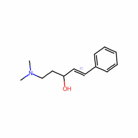 CN(C)CCC(O)/C=C/c1ccccc1